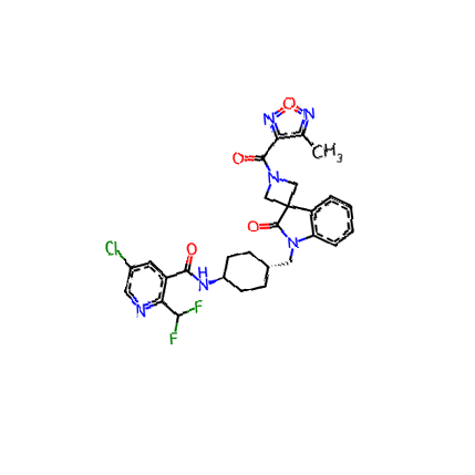 Cc1nonc1C(=O)N1CC2(C1)C(=O)N(C[C@H]1CC[C@H](NC(=O)c3cc(Cl)cnc3C(F)F)CC1)c1ccccc12